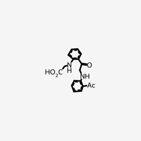 CC(=O)c1ccccc1NCC(=O)c1ccccc1NCC(=O)O